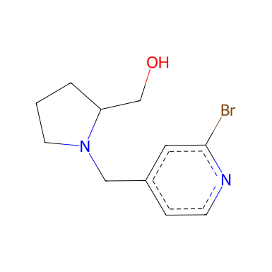 OCC1CCCN1Cc1ccnc(Br)c1